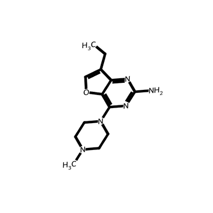 CCc1coc2c(N3CCN(C)CC3)nc(N)nc12